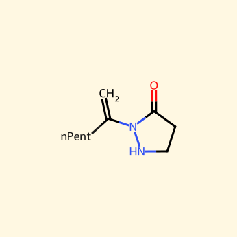 C=C(CCCCC)N1NCCC1=O